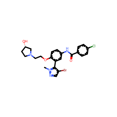 Cn1ncc(Br)c1-c1cc(NC(=O)c2ccc(Cl)cc2)ccc1OCCN1CC[C@H](O)C1